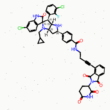 O=C1CCC(N2C(=O)c3cccc(C#CCCNC(=O)c4ccc([C@H]5C[C@H]6[C@@H](N5)[C@H](c5cccc(Cl)c5F)[C@]5(C(=O)Nc7cc(Cl)ccc75)N6CC5CC5)cc4)c3C2=O)C(=O)N1